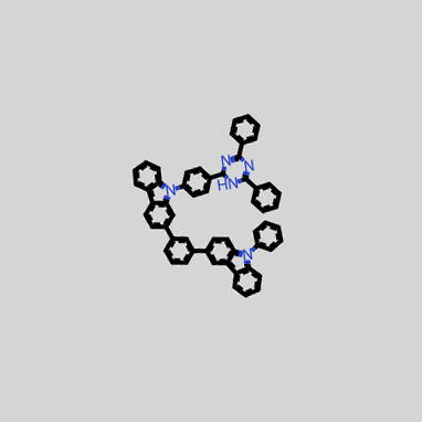 c1ccc(C2=NC(c3ccc(-n4c5ccccc5c5ccc(-c6cccc(-c7ccc8c(c7)c7ccccc7n8-c7ccccc7)c6)cc54)cc3)NC(c3ccccc3)=N2)cc1